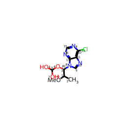 COC(C)[C@@H](OC(O)O)n1cnc2c(Cl)ncnc21